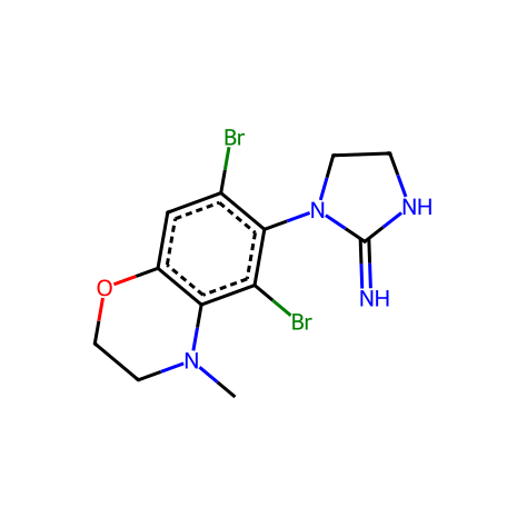 CN1CCOc2cc(Br)c(N3CCNC3=N)c(Br)c21